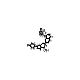 O=C(O)c1ccc(-c2ccc(F)cc2)cc1C=Cc1ccc2cccc(NS(=O)(=O)C(F)(F)F)c2c1